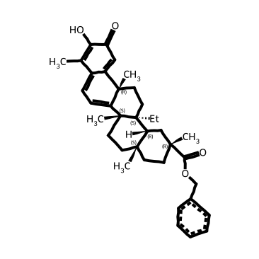 CC[C@@]12CC[C@@]3(C)C4=CC(=O)C(O)=C(C)C4=CC=C3[C@@]1(C)CC[C@@]1(C)CC[C@@](C)(C(=O)OCc3ccccc3)C[C@H]12